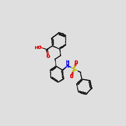 O=C(O)c1ccccc1CCc1ccccc1NS(=O)(=O)Cc1ccccc1